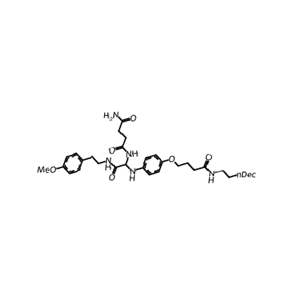 CCCCCCCCCCCCNC(=O)CCCOc1ccc(NC(NC(=O)CCC(N)=O)C(=O)NCCc2ccc(OC)cc2)cc1